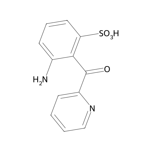 Nc1cccc(S(=O)(=O)O)c1C(=O)c1ccccn1